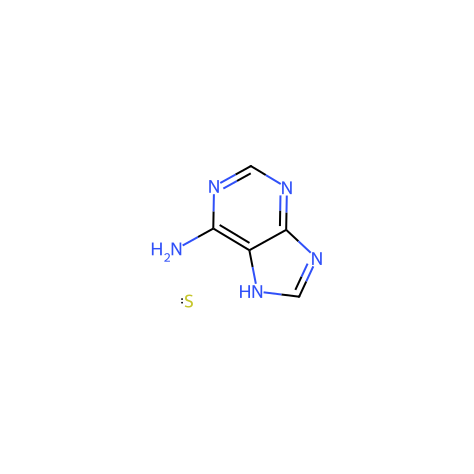 Nc1ncnc2nc[nH]c12.[S]